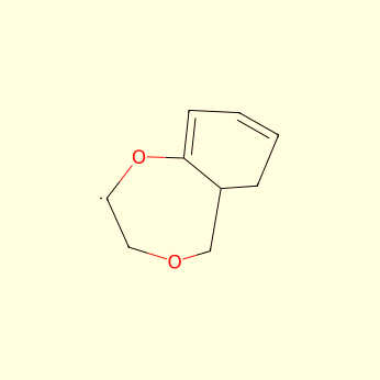 [CH]1COCC2CC=CC=C2O1